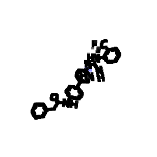 N=C(/N=c1/ccc(-c2ccc(NC(=O)Cc3ccccc3)cc2)c[nH]1)Nc1ccccc1C(F)(F)F